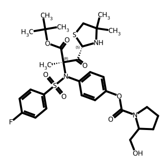 CC1(C)CS[C@@H](C(=O)[C@](C)(C(=O)OC(C)(C)C)N(c2ccc(OC(=O)N3CCCC3CO)cc2)S(=O)(=O)c2ccc(F)cc2)N1